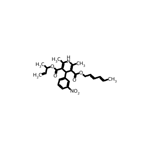 C=CC(C)OC(=O)C1=C(C)NC(C)=C(C(=O)OC/C=C/C=C/C)C1c1cccc([N+](=O)[O-])c1